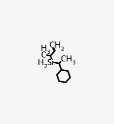 C=CC(C)[SiH2]C(C)C1CCCCC1